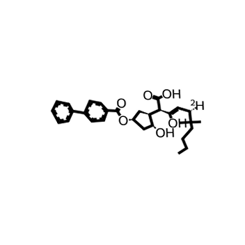 [2H][C@@H](C=C(O)[C@H](C(=O)O)[C@@H]1C[C@@H](OC(=O)c2ccc(-c3ccccc3)cc2)C[C@H]1O)C(C)(C)CCCC